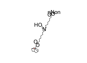 CCCCCCCCCOC(=O)CCCCCCCN(CCO)CCCCCCCC(=O)OCC12CC3CC(CC(C3)C1)C2